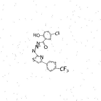 O=C(N=[N+]=Nc1nc(-c2ccc(C(F)(F)F)cc2)cs1)c1cc(Cl)ccc1O